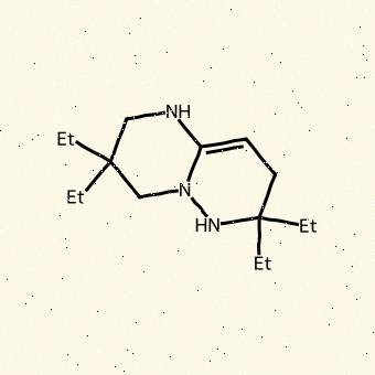 CCC1(CC)CNC2=CCC(CC)(CC)NN2C1